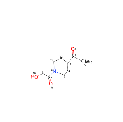 COC(=O)C1CCN(C(=O)CO)CC1